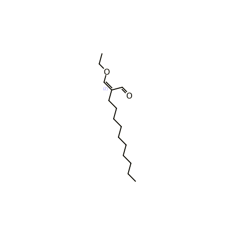 CCCCCCCCCC/C(C=O)=C/OCC